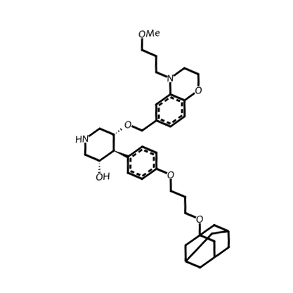 COCCCN1CCOc2ccc(CO[C@H]3CNC[C@@H](O)[C@@H]3c3ccc(OCCCOC45CC6CC(CC(C6)C4)C5)cc3)cc21